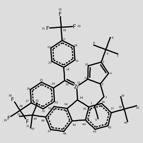 CCCC1C=C(C(C)(C)C)C=[C]1[Zr](=[C](c1ccc(C(F)(F)F)cc1)c1ccc(C(F)(F)F)cc1)[CH]1c2cc(C(C)(C)C)ccc2-c2ccc(C(C)(C)C)cc21